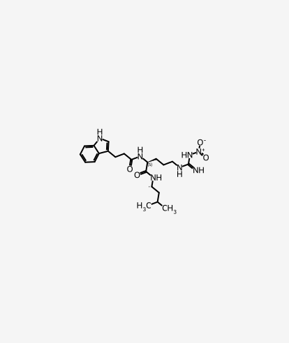 CC(C)C[CH]NC(=O)[C@H](CCCNC(=N)N[N+](=O)[O-])NC(=O)CCc1c[nH]c2ccccc12